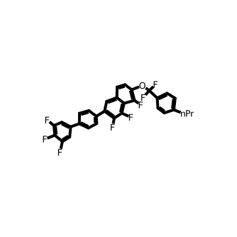 CCCc1ccc(C(F)(F)Oc2ccc3cc(-c4ccc(-c5cc(F)c(F)c(F)c5)cc4)c(F)c(F)c3c2F)cc1